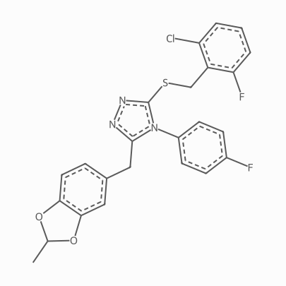 CC1Oc2ccc(Cc3nnc(SCc4c(F)cccc4Cl)n3-c3ccc(F)cc3)cc2O1